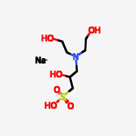 O=S(=O)(O)CC(O)CN(CCO)CCO.[Na]